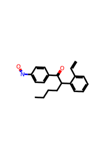 C=Cc1ccccc1C(CCCC)C(=O)c1ccc(N=O)cc1